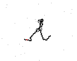 CCCCC/C=C\C/C=C\CCCCCCCCOCC(CCN1CCN(c2ccccc2OC)CC1)OCCCCCCCC/C=C\C/C=C\CCCCC